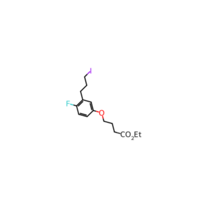 CCOC(=O)CCCOc1ccc(F)c(CCCI)c1